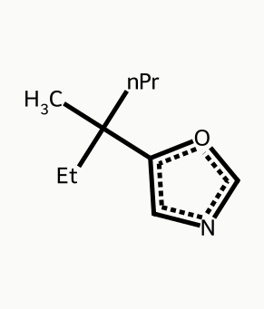 CCCC(C)(CC)c1cnco1